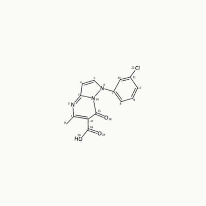 Cc1nc2ccn(-c3cccc(Cl)c3)n2c(=O)c1C(=O)O